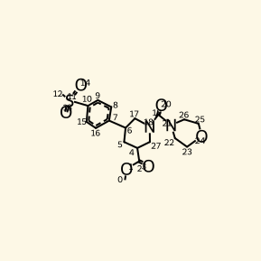 COC(=O)C1CC(c2ccc(S(C)(=O)=O)cc2)CN(C(=O)N2CCOCC2)C1